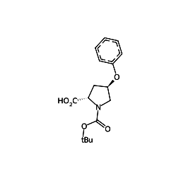 CC(C)(C)OC(=O)N1C[C@H](Oc2ccccc2)C[C@H]1C(=O)O